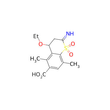 CCOC1CC(=N)S(=O)(=O)c2c(C)cc(C(=O)O)c(C)c21